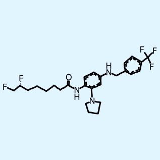 O=C(CCCCC[C@@H](F)CF)Nc1ccc(NCc2ccc(C(F)(F)F)cc2)cc1N1CCCC1